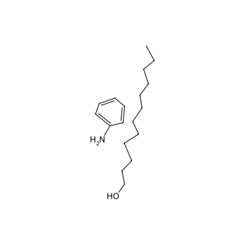 CCCCCCCCCCCCO.Nc1ccccc1